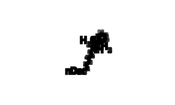 CCCCCCCCCCCCCCCCNC[N+](C)(C)c1ccccc1